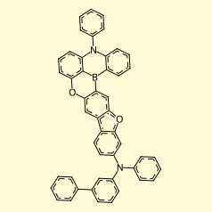 c1ccc(-c2cccc(N(c3ccccc3)c3ccc4c(c3)oc3cc5c(cc34)Oc3cccc4c3B5c3ccccc3N4c3ccccc3)c2)cc1